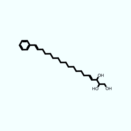 OCC(O)C(O)C=CCCCCCCCCCCCCC=Cc1ccccc1